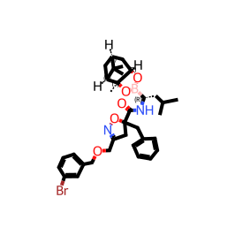 CC(C)C[C@H](NC(=O)C1(Cc2ccccc2)CC(COCc2cccc(Br)c2)=NO1)B1O[C@@H]2C[C@@H]3C[C@@H](C3(C)C)[C@]2(C)O1